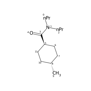 CCCN(CCC)C(=O)[C@H]1CC[C@H](C)CC1